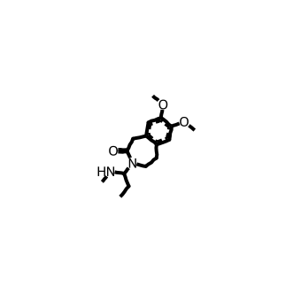 CCC(NC)N1CCc2cc(OC)c(OC)cc2CC1=O